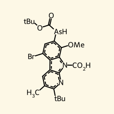 COc1c([AsH]C(=O)OC(C)(C)C)cc(Br)c2c3cc(C)c(C(C)(C)C)nc3n(C(=O)O)c12